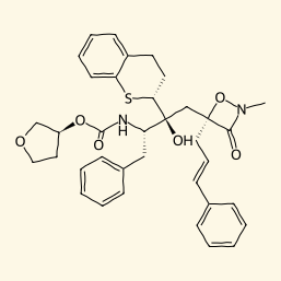 CN1O[C@](CC=Cc2ccccc2)(C[C@](O)([C@H](Cc2ccccc2)NC(=O)O[C@H]2CCOC2)[C@H]2CCc3ccccc3S2)C1=O